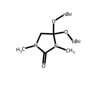 CCCCOC1(OCCCC)CN(C)C(=O)N1C